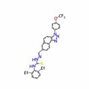 CCc1cccc(CC)c1NC(=S)N/N=C/c1ccc2c(ccc3c2nnn3-c2ccc(OC(F)(F)F)cc2)c1